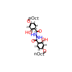 CCCCCCCCOc1ccc(C(=O)NNC(=O)c2ccc(OCCCCCCCC)cc2O)c(O)c1